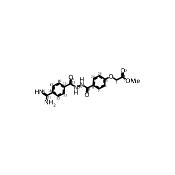 COC(=O)COc1ccc(C(=O)NNC(=O)c2ccc(C(=N)N)cc2)cc1